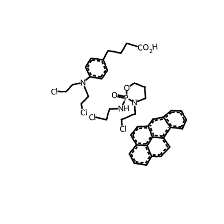 O=C(O)CCCc1ccc(N(CCCl)CCCl)cc1.O=P1(NCCCl)OCCCN1CCCl.c1ccc2c(c1)cc1ccc3cccc4ccc2c1c34